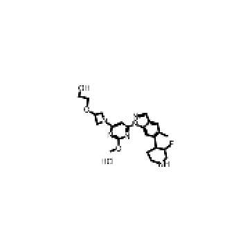 COc1nc(N2CC(OCCO)C2)cc(-n2ncc3cc(C)c(C4CCNCC4F)cc32)n1.Cl